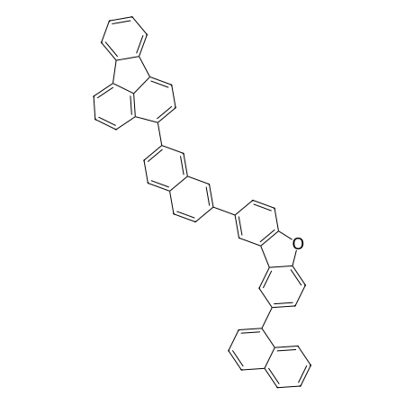 c1ccc2c(c1)-c1cccc3c(-c4ccc5ccc(-c6ccc7oc8ccc(-c9cccc%10ccccc9%10)cc8c7c6)cc5c4)ccc-2c13